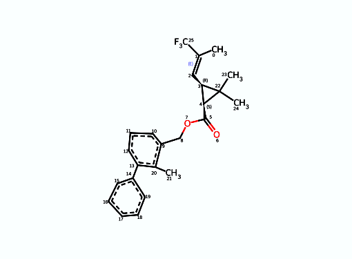 C/C(=C\[C@@H]1[C@H](C(=O)OCc2cccc(-c3ccccc3)c2C)C1(C)C)C(F)(F)F